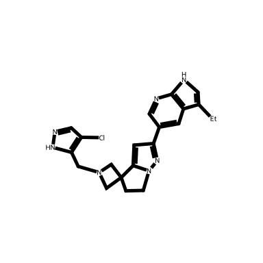 CCc1c[nH]c2ncc(-c3cc4n(n3)CCC43CN(Cc4[nH]ncc4Cl)C3)cc12